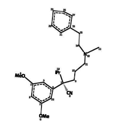 COc1cc(OC)cc([C@](C#N)(CCCN(C)CCc2ccccc2)C(C)C)c1